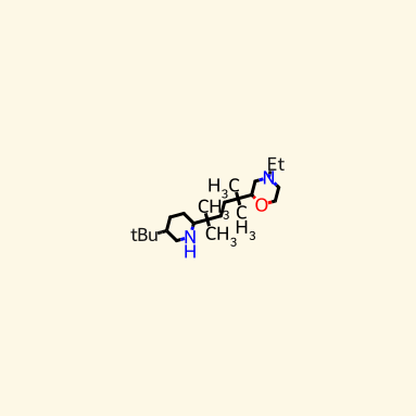 CCN1CCOC(C(C)(C)CCC(C)(C)C2CCC(C(C)(C)C)CN2)C1